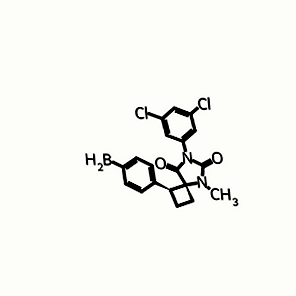 Bc1ccc([C@@H]2CC[C@]23C(=O)N(c2cc(Cl)cc(Cl)c2)C(=O)N3C)cc1